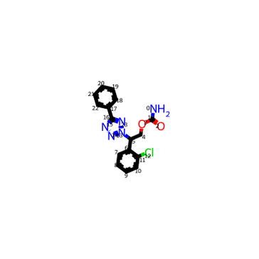 NC(=O)OCC(c1ccccc1Cl)n1nnc(-c2ccccc2)n1